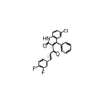 O=C(/C=C/c1ccc(F)c(F)c1)c1c(-c2ccccc2)c2cc(Cl)ccc2[nH]c1=O